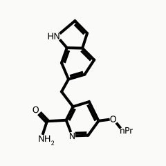 CCCOc1cnc(C(N)=O)c(Cc2ccc3cc[nH]c3c2)c1